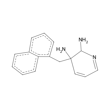 NC1N=CC=CC1(N)Cc1cccc2ccccc12